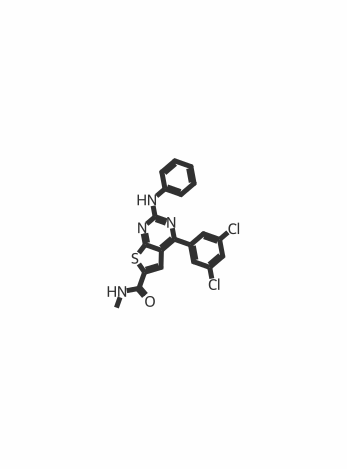 CNC(=O)c1cc2c(-c3cc(Cl)cc(Cl)c3)nc(Nc3ccccc3)nc2s1